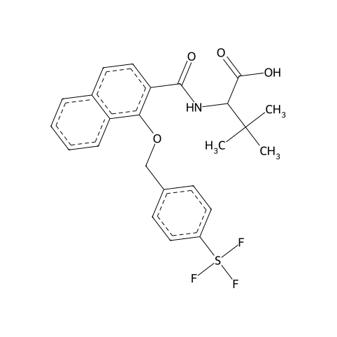 CC(C)(C)C(NC(=O)c1ccc2ccccc2c1OCc1ccc(S(F)(F)F)cc1)C(=O)O